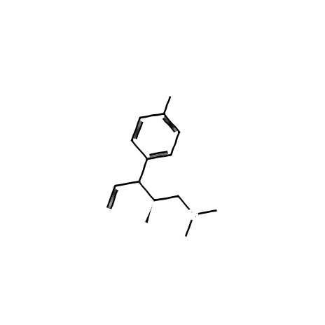 C=CC(c1ccc(O)cc1)[C@H](C)CN(C)C